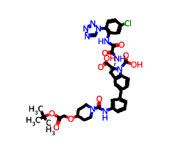 CC(C)(C)OC(=O)COC1CCN(C(=O)Nc2cccc(-c3ccc4c(c3)C[C@@](NC(=O)C(=O)Nc3cc(Cl)ccc3-n3cnnn3)(C(=O)O)N4C(=O)O)c2)CC1